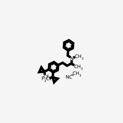 CC#N.CC(CCc1ccc(C2(C(F)(F)F)CC2)c(C2(C(F)(F)F)CC2)c1)N(C)Cc1ccccc1